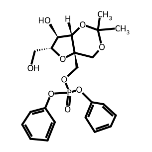 CC1(C)OC[C@]2(COP(=O)(Oc3ccccc3)Oc3ccccc3)O[C@H](CO)[C@@H](O)[C@@H]2O1